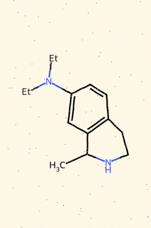 CCN(CC)c1ccc2c(c1)C(C)NCC2